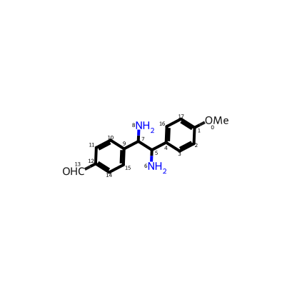 COc1ccc(C(N)C(N)c2ccc(C=O)cc2)cc1